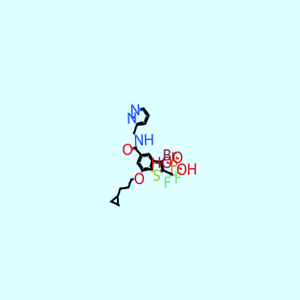 O=C(NCc1cccnn1)c1cc(OCCCC2CC2)c2sc(C(F)(F)P(=O)(O)O)c(Br)c2c1